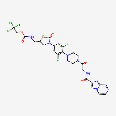 O=C(NCC1CN(c2cc(F)c(N3CCN(C(=O)CNC(=O)c4cn5ccncc5n4)CC3)c(F)c2)C(=O)O1)OCC(Cl)(Cl)Cl